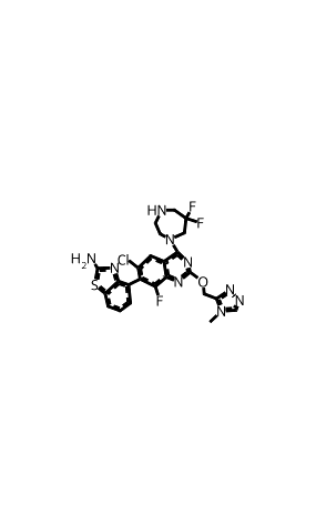 Cn1cnnc1COc1nc(N2CCNCC(F)(F)C2)c2cc(Cl)c(-c3cccc4sc(N)nc34)c(F)c2n1